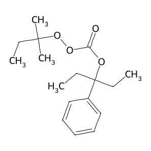 CCC(C)(C)OOC(=O)OC(CC)(CC)c1ccccc1